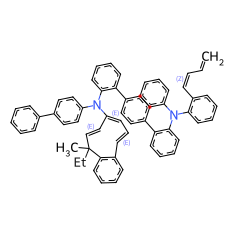 C=C/C=C\c1ccccc1N(c1ccccc1)c1ccccc1-c1ccc(-c2ccccc2N(C2=C/C=C/c3ccccc3C(C)(CC)\C=C\2)c2ccc(-c3ccccc3)cc2)cc1